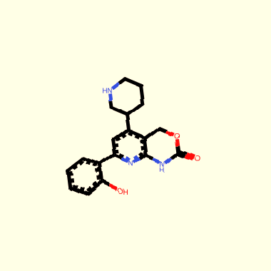 O=C1Nc2nc(-c3ccccc3O)cc(C3CCCNC3)c2CO1